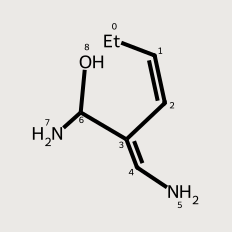 CC/C=C\C(=C/N)C(N)O